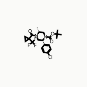 C[C@@H]1CN(C(=O)OC(C)(C)C)[C@H](c2ccc(Cl)cc2)CN1C(=O)C1(C(F)(F)F)CC1